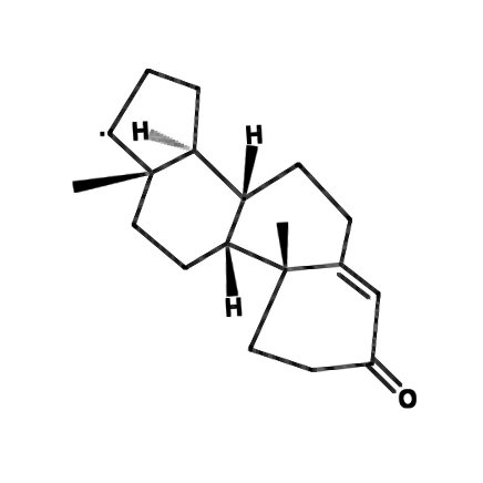 C[C@@]12[CH]CC[C@H]1[C@@H]1CCC3=CC(=O)CC[C@]3(C)[C@@H]1CC2